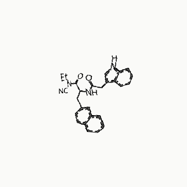 CCN(C#N)C(=O)C(Cc1ccc2ccccc2c1)NC(=O)Cc1c[nH]c2ccccc12